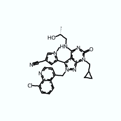 C[C@@H](O)CNc1nc(=O)n(CC2CC2)c2nn(Cc3ccnc4c(Cl)cccc34)c(-c3cc(C#N)cn3C)c12